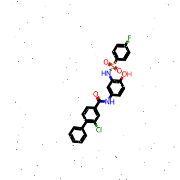 O=C(Nc1ccc(O)c(NS(=O)(=O)c2ccc(F)cc2)c1)c1ccc(-c2ccccc2)c(Cl)c1